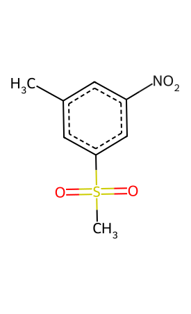 Cc1cc([N+](=O)[O-])cc(S(C)(=O)=O)c1